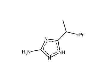 CCCC(C)c1nc(N)n[nH]1